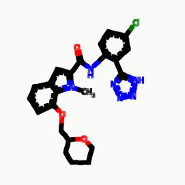 Cn1c(C(=O)Nc2ccc(Cl)cc2-c2nnn[nH]2)cc2cccc(OCC3CCCCO3)c21